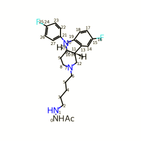 CC(=O)NNCCCCCN1CC[C@@H]2[C@@H](C1)c1cc(F)ccc1N2c1ccc(F)cc1